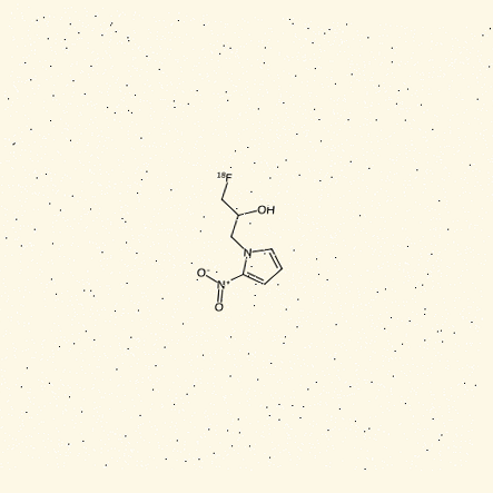 O=[N+]([O-])c1cccn1CC(O)C[18F]